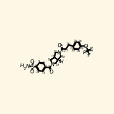 NS(=O)(=O)c1ccc(C(=O)N2CC3CN(C(=O)CCc4ccc(OC(F)(F)F)cc4)C[C@@H]3C2)cc1